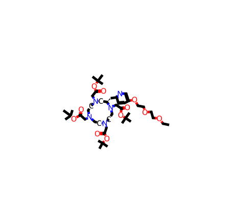 CCOCCOCCOc1ccc(C[C@H]2CN(CC(=O)OC(C)(C)C)CCN(CC(=O)OC(C)(C)C)CCN(CC(=O)OC(C)(C)C)CCN2CC(=O)OC(C)(C)C)nc1